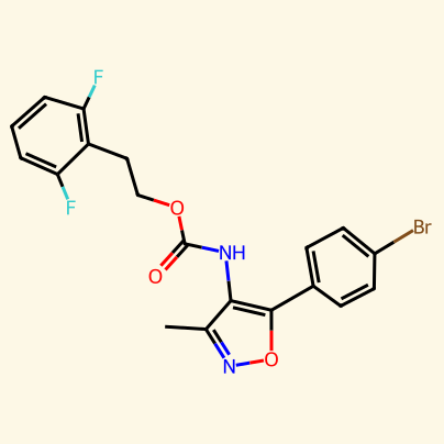 Cc1noc(-c2ccc(Br)cc2)c1NC(=O)OCCc1c(F)cccc1F